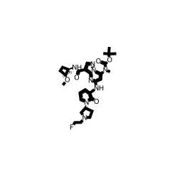 CO[C@@H]1CC[C@H]1NC(=O)c1cnn2c(N(C)C(=O)OC(C)(C)C)cc(Nc3cccn([C@@H]4CCN(CCF)C4)c3=O)nc12